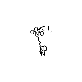 CC=C1OC(=O)N(CCCCSc2cccc3nccn23)C1=O